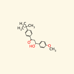 COc1ccc(C(O)CC(=O)c2ccc(C(C)(C)C)cc2)cc1